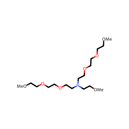 COCCOCCOCCN(CCOC)CCOCCOCCOC